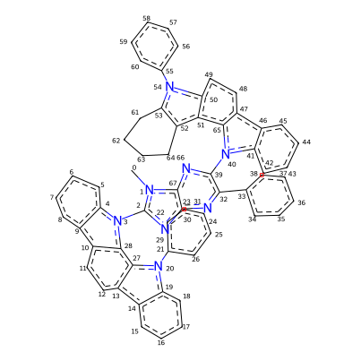 Cn1c(-n2c3ccccc3c3ccc4c5ccccc5n(-c5ccccc5)c4c32)nc2nc(-c3ccccc3)c(-n3c4ccccc4c4ccc5c(c6c(n5-c5ccccc5)CCCC6)c43)nc21